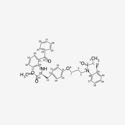 CCC(=O)N(CCCOc1ccc(C[C@H](Nc2ccccc2C(=O)c2ccccc2)C(=O)OC)cc1)c1ccccc1F